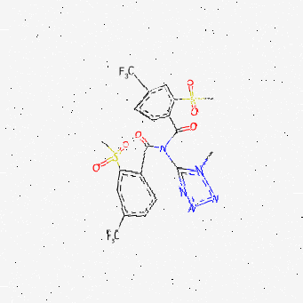 Cn1nnnc1N(C(=O)c1ccc(C(F)(F)F)cc1S(C)(=O)=O)C(=O)c1ccc(C(F)(F)F)cc1S(C)(=O)=O